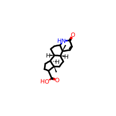 C[C@]12C=CC(=O)NC1CC[C@@H]1[C@H]2CC[C@]2(C)C(C(=O)O)CC[C@@H]12